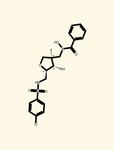 C[C@@]1(CN(O)C(=O)c2ccccc2)CO[C@H](CNS(=O)(=O)c2ccc(Cl)cc2)[C@H]1O